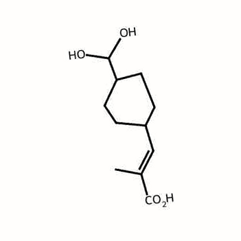 C/C(=C\C1CCC(C(O)O)CC1)C(=O)O